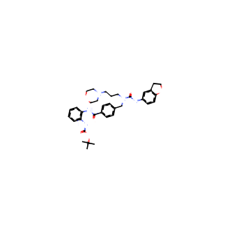 CC(C)(C)OC(=O)Nc1ccccc1NC(=O)c1ccc(CN(CCCN2CCOCC2)C(=O)Nc2ccc3c(c2)CCO3)cc1